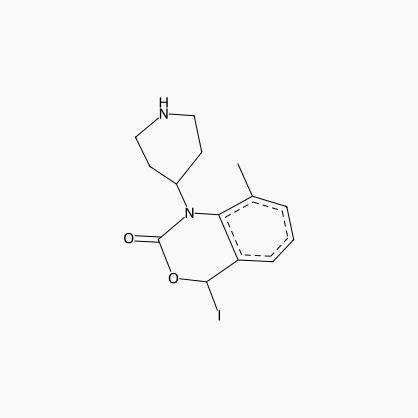 Cc1cccc2c1N(C1CCNCC1)C(=O)OC2I